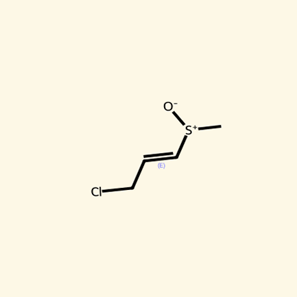 C[S+]([O-])/C=C/CCl